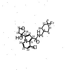 CC1(F)CCC(CNC(=O)c2cc(C3(O)CCOC3)n3cccc(Cl)c23)CC1